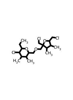 CCC1OC(COCC2(CCl)OC(CCl)C(C)C2C)C(C)C(C)C1Cl